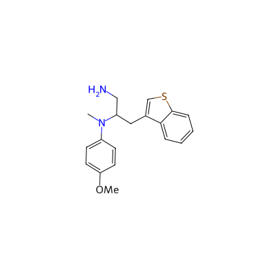 COc1ccc(N(C)C(CN)Cc2csc3ccccc23)cc1